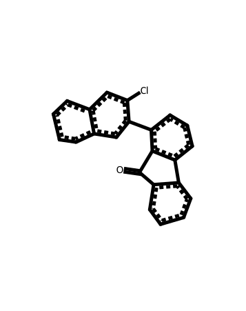 O=C1c2ccccc2-c2cccc(-c3cc4ccccc4cc3Cl)c21